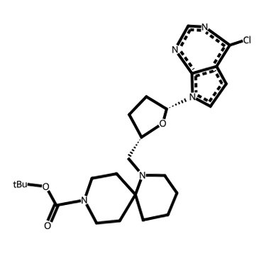 CC(C)(C)OC(=O)N1CCC2(CCCCN2C[C@@H]2CC[C@H](n3ccc4c(Cl)ncnc43)O2)CC1